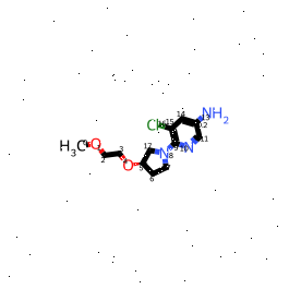 COCCO[C@@H]1CCN(c2ncc(N)cc2Cl)C1